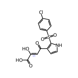 O=C(O)/C(O)=C/C(=O)c1cc[nH]c1S(=O)(=O)c1ccc(Cl)cc1